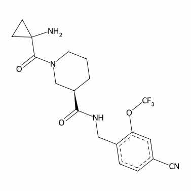 N#Cc1ccc(CNC(=O)[C@@H]2CCCN(C(=O)C3(N)CC3)C2)c(OC(F)(F)F)c1